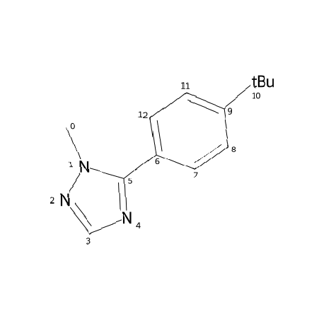 Cn1ncnc1-c1ccc(C(C)(C)C)cc1